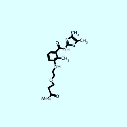 CNC(=O)CCOCCNc1cccc(C(=O)Nc2nc(C)c(C)s2)c1C